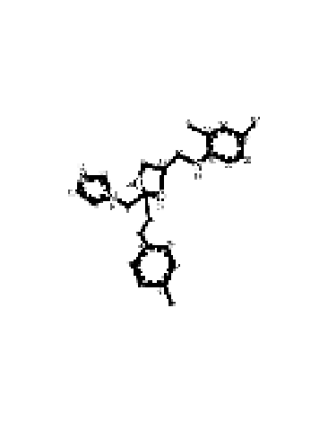 Cc1ccc(CCC2(Cn3ccnc3)OCC(CSc3ccc(C)cc3C)O2)cc1